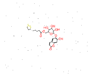 O=C(CCCC[C@@H]1CCSS1)OCC1OC(Oc2cc3ccc(=O)oc3cc2O)C(O)C(O)C1O